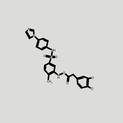 Cc1ccc(S(=O)(=O)Nc2ccc(-n3ccnc3)cc2)cc1NOC(=O)Cc1ccc(Cl)c(Cl)c1